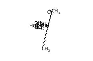 CCCCCCCCCCCCCCCCCCCC1(C)CO1.O=P(O)(O)O.O=P(O)(O)O